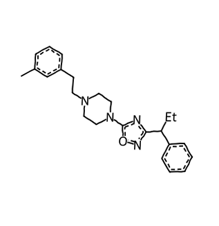 CCC(c1ccccc1)c1noc(N2CCN(CCc3cccc(C)c3)CC2)n1